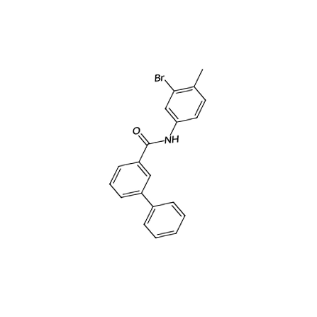 Cc1ccc(NC(=O)c2cccc(-c3ccccc3)c2)cc1Br